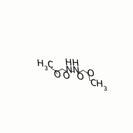 CCC1OC1CC(=O)NCNC(=O)CC1OC1CC